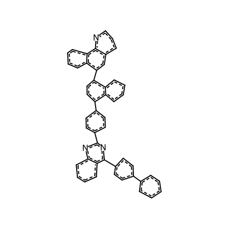 c1ccc(-c2ccc(-c3nc(-c4ccc(-c5ccc(-c6cc7cccnc7c7ccccc67)c6ccccc56)cc4)nc4ccccc34)cc2)cc1